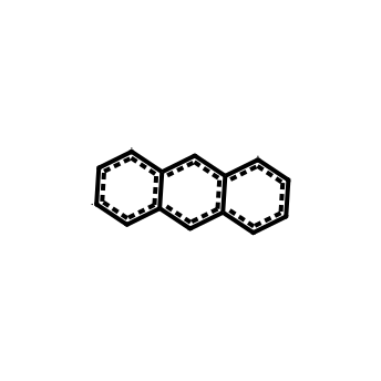 [c]1c[c]c2cc3[c]cccc3cc2c1